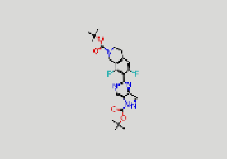 CC(C)(C)OC(=O)N1CCc2cc(F)c(-c3ncc4c(cnn4C(=O)OC(C)(C)C)n3)c(F)c2C1